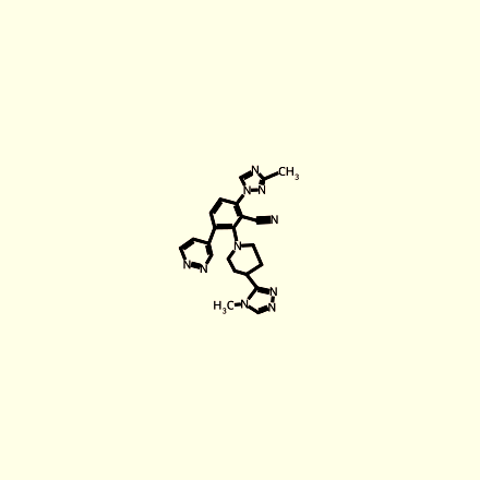 Cc1ncn(-c2ccc(-c3ccnnc3)c(N3CCC(c4nncn4C)CC3)c2C#N)n1